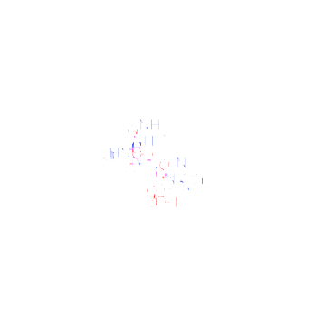 CC[C@@]1(O)C(=O)OCc2c1cc1n(c2=O)Cc2c-1nc1cc(F)c(C)c3c1c2[C@@H](N(C)CCOCNC(=O)CNC(=O)[C@H](Cc1ccccc1)NC(=O)CNC(=O)CN)CC3